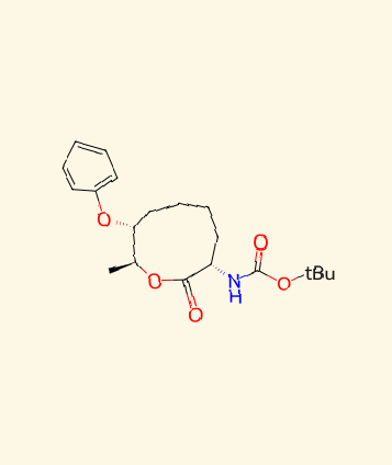 C[C@@H]1OC(=O)[C@@H](NC(=O)OC(C)(C)C)CCCC[C@H]1Oc1ccccc1